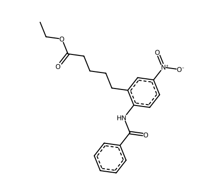 CCOC(=O)CCCCc1cc([N+](=O)[O-])ccc1NC(=O)c1ccccc1